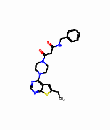 CCc1cc2c(N3CCN(C(=O)CC(=O)NCc4ccccc4)CC3)ncnc2s1